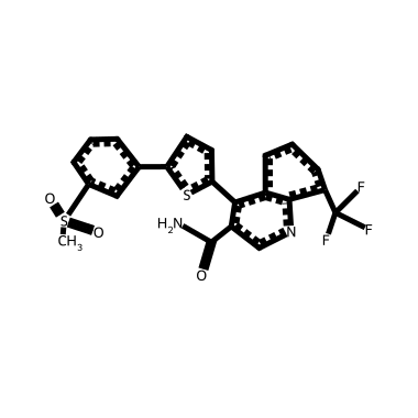 CS(=O)(=O)c1cccc(-c2ccc(-c3c(C(N)=O)cnc4c(C(F)(F)F)cccc34)s2)c1